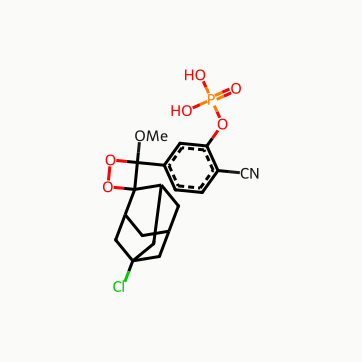 COC1(c2ccc(C#N)c(OP(=O)(O)O)c2)OOC12C1CC3CC2CC(Cl)(C3)C1